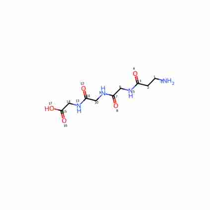 NCCC(=O)NCC(=O)NCC(=O)NCC(=O)O